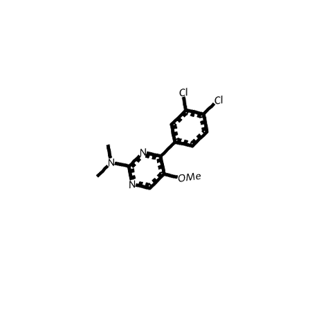 COc1cnc(N(C)C)nc1-c1ccc(Cl)c(Cl)c1